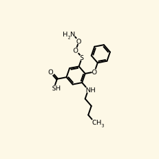 CCCCNc1cc(C(=O)S)cc(SOON)c1Oc1ccccc1